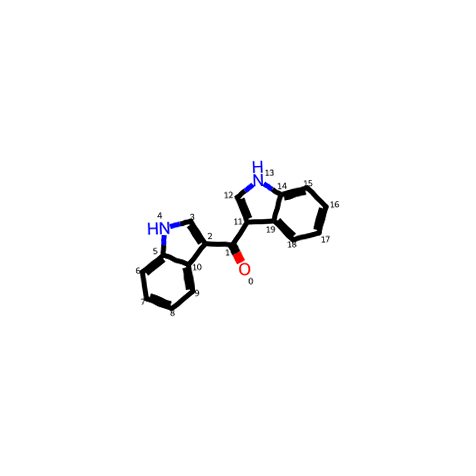 O=C(c1c[nH]c2ccccc12)c1c[nH]c2ccccc12